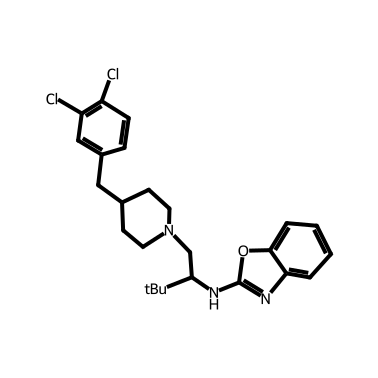 CC(C)(C)C(CN1CCC(Cc2ccc(Cl)c(Cl)c2)CC1)Nc1nc2ccccc2o1